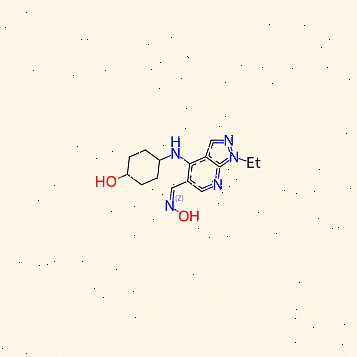 CCn1ncc2c(NC3CCC(O)CC3)c(/C=N\O)cnc21